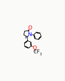 O=C1CC[C@H](c2cccc(OC(F)(F)F)c2)N1c1ccccc1